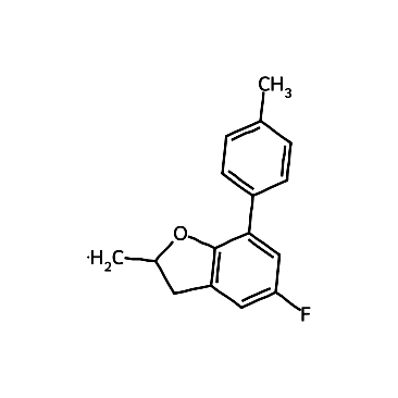 [CH2]C1Cc2cc(F)cc(-c3ccc(C)cc3)c2O1